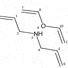 C=CCNCC=C.C=COC=C